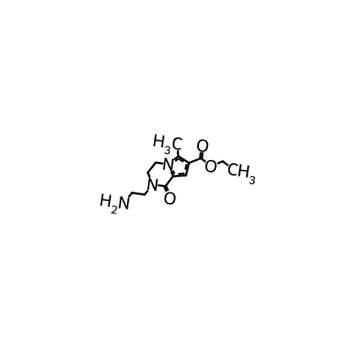 CCOC(=O)c1cc2n(c1C)CCN(CCN)C2=O